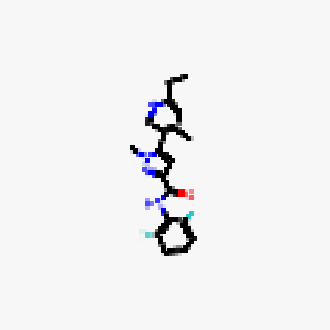 CCc1cc(C)c(-c2cc(C(=O)Nc3c(F)cccc3F)nn2C)cn1